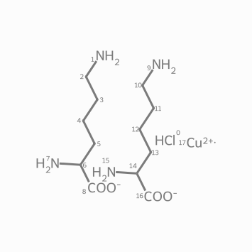 Cl.NCCCCC(N)C(=O)[O-].NCCCCC(N)C(=O)[O-].[Cu+2]